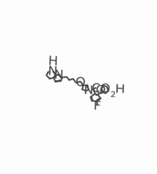 O=C(O)C(c1ccc(F)cc1C1CCCCO1)N1CCC(OCCCCc2ccc3c(n2)NCCC3)C1